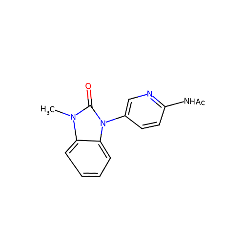 CC(=O)Nc1ccc(-n2c(=O)n(C)c3ccccc32)cn1